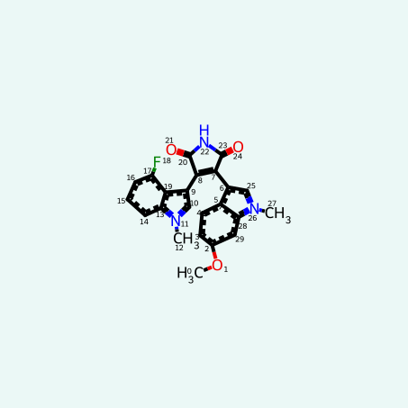 COc1ccc2c(C3=C(c4cn(C)c5cccc(F)c45)C(=O)NC3=O)cn(C)c2c1